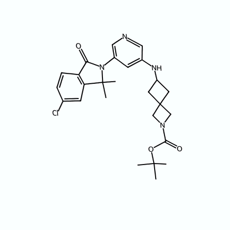 CC(C)(C)OC(=O)N1CC2(CC(Nc3cncc(N4C(=O)c5ccc(Cl)cc5C4(C)C)c3)C2)C1